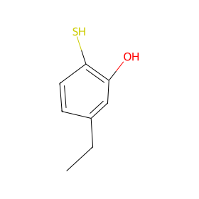 CCc1ccc(S)c(O)c1